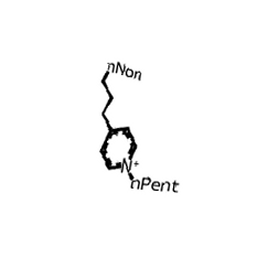 CCCCCCCCCCCCc1cc[n+](CCCCC)cc1